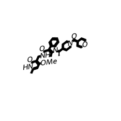 COc1cc(C)[nH]c(=O)c1CNC(=O)c1c(C)n([C@H](C)C2CCN(C(=O)C3CCOCC3)CC2)c2ccccc12